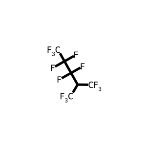 FC(F)(F)C(C(F)(F)F)C(F)(F)C(F)(F)C(F)(F)F